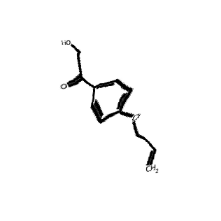 C=CCOc1ccc(C(=O)CO)cc1